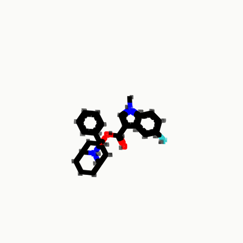 Cn1cc(C(=O)OC2CC3CCCC(C2)N3Cc2ccccc2)c2cc(F)ccc21